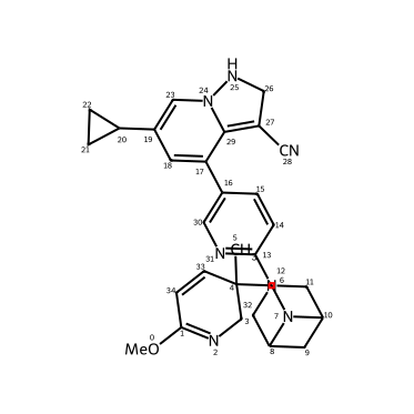 COC1=NCC(C)(CN2C3CC2CN(c2ccc(C4=CC(C5CC5)=CN5NCC(C#N)=C45)cn2)C3)C=C1